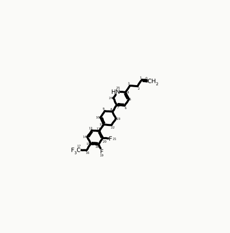 C=CCCC1=CC=C(C2CC=C(c3ccc(CC(F)(F)F)c(F)c3F)CC2)CN1